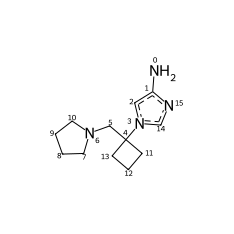 Nc1cn(C2(CN3CCCC3)CCC2)cn1